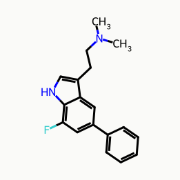 CN(C)CCc1c[nH]c2c(F)cc(-c3ccccc3)cc12